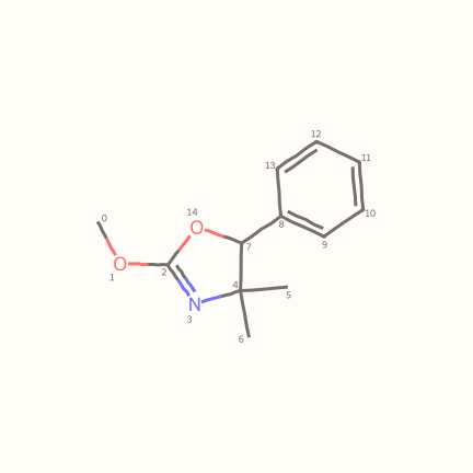 COC1=NC(C)(C)C(c2ccccc2)O1